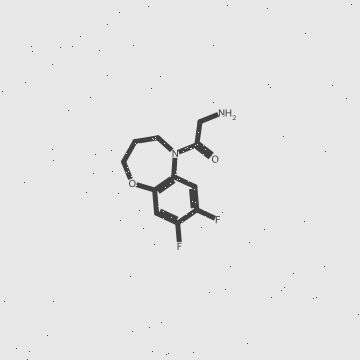 NCC(=O)N1CCCOc2cc(F)c(F)cc21